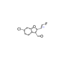 O=Cc1c(/C=C/F)oc2cc(Cl)ccc12